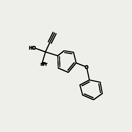 C#CC(O)(CCC)c1ccc(Oc2ccccc2)cc1